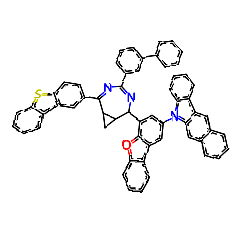 c1ccc(-c2cccc(C3=NC(c4cc(-n5c6ccccc6c6cc7ccccc7cc65)cc5c4oc4ccccc45)C4CC4C(c4ccc5sc6ccccc6c5c4)=N3)c2)cc1